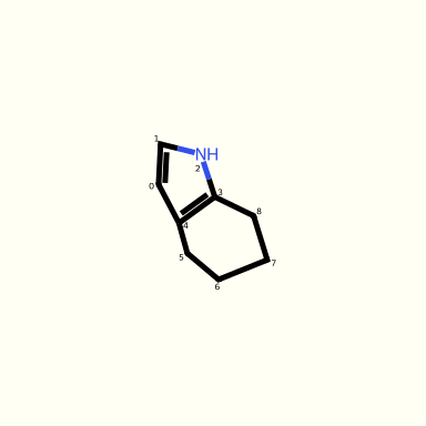 [c]1c[nH]c2c1CCCC2